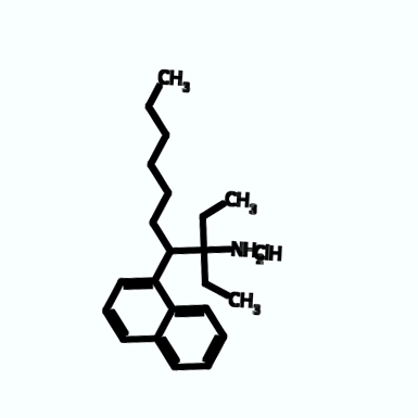 CCCCCCC(c1cccc2ccccc12)C(N)(CC)CC.Cl